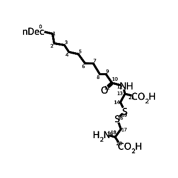 CCCCCCCCCCCCCCCCCCCC(=O)NC(CSSCC(N)C(=O)O)C(=O)O